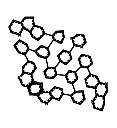 c1cnc(-c2ccc(-c3c(-c4cc(-c5ccccc5-c5ccc6c(ccc7cccnc76)c5)cc(-c5ccccc5-c5ccc6c(c5)ncc5cccnc56)c4)cccc3-c3cc(-c4ccccc4-c4ccc5c(c4)ncc4cccnc45)cc(-c4ccccc4-c4ccc5c(c4)ncc4cccnc45)c3)cc2)nc1